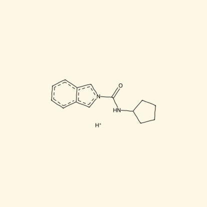 O=C(NC1CCCC1)n1cc2ccccc2c1.[H+]